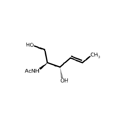 C/C=C/[C@H](O)[C@H](CO)NC(C)=O